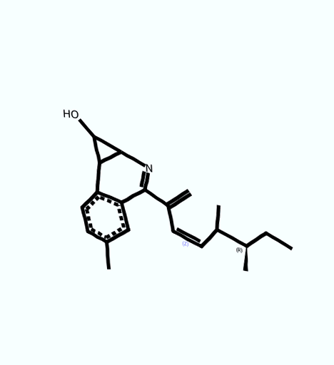 C=C(/C=C\C(C)[C@H](C)CC)C1=NC2C(O)C2c2ccc(C)cc21